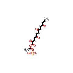 CCCC(=O)CCC(=O)CCC(=O)CCC(=O)C(=O)OC(C)O[PH](=O)O